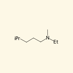 CCN(C)CCCC(C)C